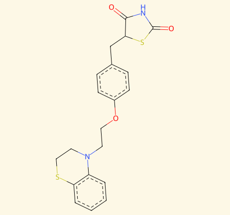 O=C1NC(=O)C(Cc2ccc(OCCN3CCSc4ccccc43)cc2)S1